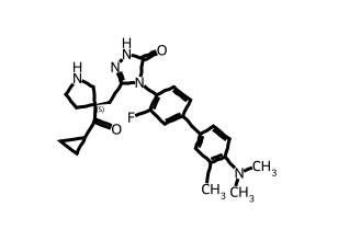 Cc1cc(-c2ccc(-n3c(C[C@@]4(C(=O)C5CC5)CCNC4)n[nH]c3=O)c(F)c2)ccc1N(C)C